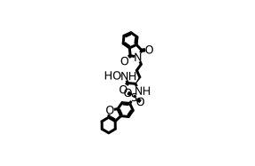 O=C(NO)[C@@H](CCCN1C(=O)c2ccccc2C1=O)NS(=O)(=O)c1ccc2c3c(oc2c1)CCCC3